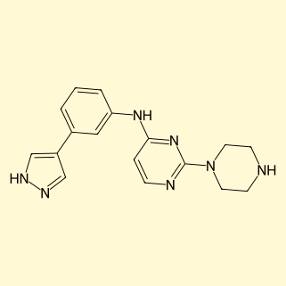 c1cc(Nc2ccnc(N3CCNCC3)n2)cc(-c2cn[nH]c2)c1